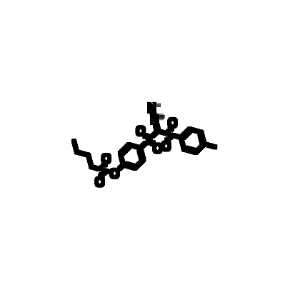 CCCCS(=O)(=O)Oc1ccc(S(=O)(=O)C(=[N+]=[N-])S(=O)(=O)c2ccc(C)cc2)cc1